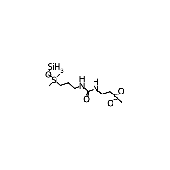 C[Si](C)(CCCNC(=O)NCCS(C)(=O)=O)O[SiH3]